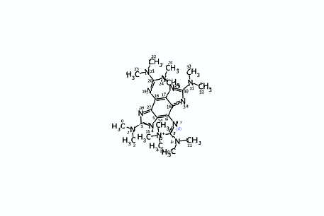 CN(C)C1=Nc2c(/N=C(/N(C)C)[N+](C)(C)C)c3c(c(N=C(N(C)C)N(C)C)c2=N1)N=C(N(C)C)N=3